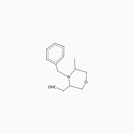 CC1COCC(CC=O)N1Cc1ccccc1